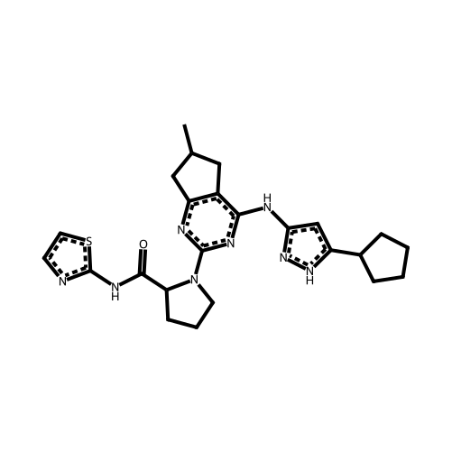 CC1Cc2nc(N3CCCC3C(=O)Nc3nccs3)nc(Nc3cc(C4CCCC4)[nH]n3)c2C1